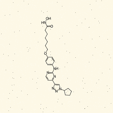 O=C(CCCCCCOc1ccc(Nc2nccc(-c3cn(C4CCCC4)nn3)n2)cc1)NO